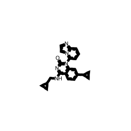 O=c1nc(NCC2CC2)c2ccc(C3CC3)cc2n1-c1cccc2nccn12